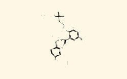 COC(C)(C)CCOc1ccc(Cl)cc1C(=O)N[C@@H](C)c1ccc(C(=O)O)cc1